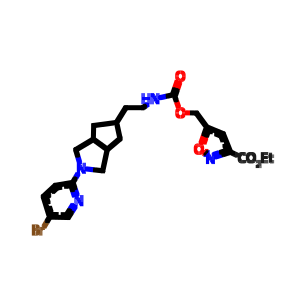 CCOC(=O)c1cc(COC(=O)NCCC2CC3CN(c4ccc(Br)cn4)CC3C2)on1